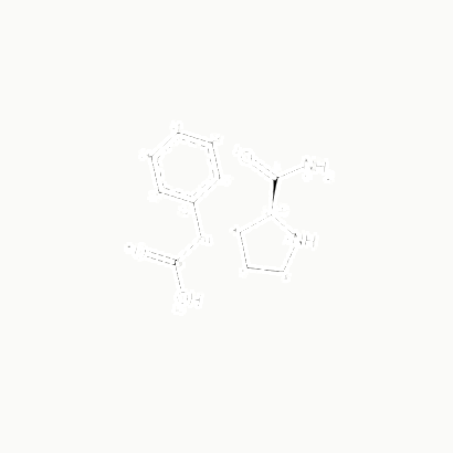 NC(=O)[C@@H]1CCCN1.O=C(O)Cc1ccccc1